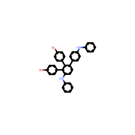 Brc1ccc(-c2c(Nc3ccccc3)ccc(-c3ccc(Nc4ccccc4)cc3)c2-c2ccc(Br)cc2)cc1